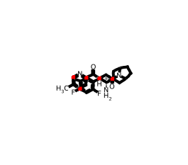 Cc1cnc(C(=O)NCC(=O)N2C3CCC2CC([C@H](N)Cc2cc(F)c(F)cc2F)C3)cn1